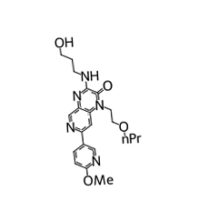 CCCOCCn1c(=O)c(NCCCO)nc2cnc(-c3ccc(OC)nc3)cc21